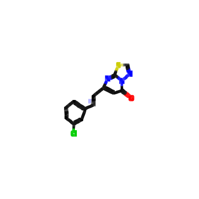 O=c1cc(/C=C/c2cccc(Cl)c2)nc2scnn12